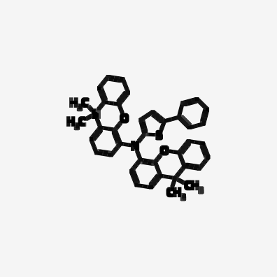 CC1(C)c2ccccc2Oc2c(N(c3ccc(-c4ccccc4)s3)c3cccc4c3Oc3ccccc3[Si]4(C)C)cccc21